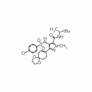 C[C@H](NC(=O)c1c(NS(=O)(=O)c2ccc(Cl)cc2)c(C2=CCC3(CC2)OCCO3)nn1C)C(C)(C)C